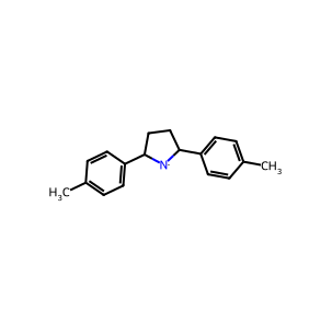 Cc1ccc(C2CCC(c3ccc(C)cc3)[N]2)cc1